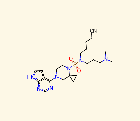 CN(C)CCCN(CCCCC#N)S(=O)(=O)N1CCN(c2ncnc3[nH]ccc23)CC12CC2